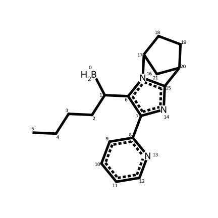 BC(CCCC)c1c(-c2ccccn2)nc2n1C1CCC2C1